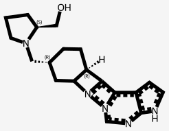 OC[C@@H]1CCCN1C[C@@H]1CC[C@H]2c3c4c5cc[nH]c5ncn4n3C2C1